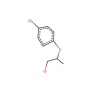 CC(C[O])Sc1ccc(Cl)cc1